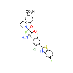 N[C@H](C(=O)C(F)(O[C@H]1CC[C@H](C(=O)O)CC1)N1CCCC1)c1cc(Cl)c(-c2nc3cc(F)ccc3s2)cc1F